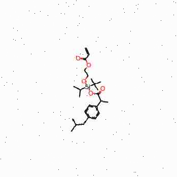 C=CC(=O)OCCO[Si](OC(=O)C(C)c1ccc(CC(C)C)cc1)(C(C)C)C(C)(C)C